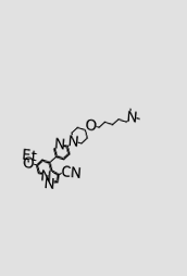 CCOc1cc(-c2ccc(N3CCC(OCCCCCN(C)C)CC3)nc2)c2c(C#N)cnn2c1